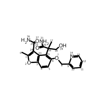 Cc1oc2ccc(OCc3ccccn3)c(C(C)(CO)C(N)=O)c2c1C(N)=O